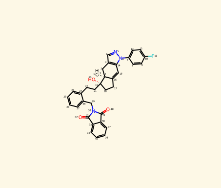 C[C@]12Cc3cnn(-c4ccc(F)cc4)c3C=C1CC[C@@]2(O)CCc1ccccc1CN1C(=O)c2ccccc2C1=O